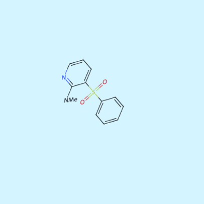 CNc1ncccc1S(=O)(=O)c1ccccc1